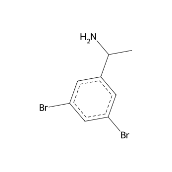 CC(N)c1cc(Br)cc(Br)c1